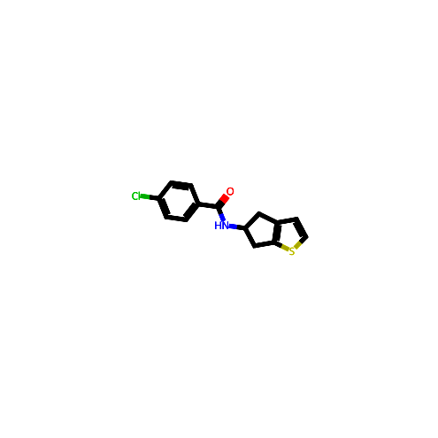 O=C(NC1Cc2ccsc2C1)c1ccc(Cl)cc1